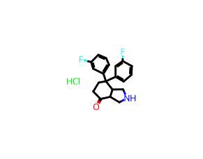 Cl.O=C1CCC(c2cccc(F)c2)(c2cccc(F)c2)C2CNCC12